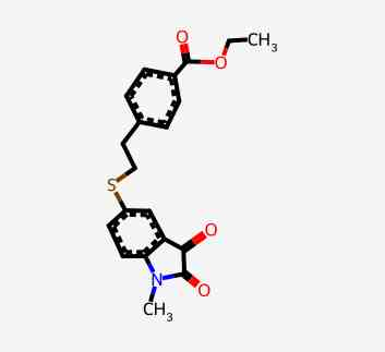 CCOC(=O)c1ccc(CCSc2ccc3c(c2)C(=O)C(=O)N3C)cc1